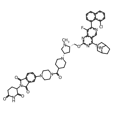 CN1C[C@@H](N2CCC(C(=O)N3CCN(c4ccc5c(c4)C(=O)N(C4CCC(=O)NC4=O)C5=O)CC3)CC2)C[C@H]1COc1nc(N2CC3CCC(C2)N3)c2cnc(-c3cccc4cccc(Cl)c34)c(F)c2n1